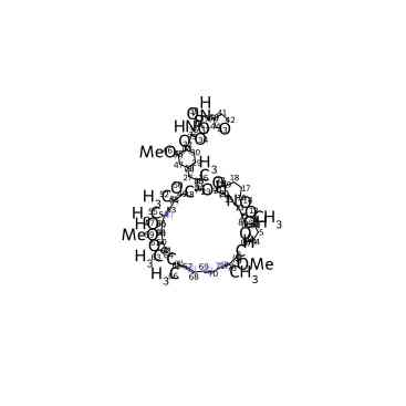 CO[C@H]1C[C@@H]2CC[C@@H](C)[C@@](O)(O2)C(=O)C(=O)N2CCCC[C@H]2C(=O)O[C@H]([C@H](C)C[C@@H]2CC[C@@H](OC(=O)NS(=O)(=O)N[C@@H]3CCOC3)[C@H](OC)C2)CC(=O)[C@H](C)/C=C(\C)[C@@H](O)[C@@H](OC)C(=O)[C@H](C)C[C@H](C)/C=C/C=C/C=C/1C